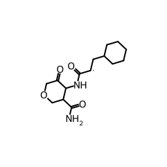 NC(=O)C1COCC(=O)C1NC(=O)[CH]CC1CCCCC1